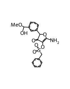 COC(O)c1cccc(C2OC(N)=C(OS(=O)(=O)Cc3ccccc3)C2=O)c1